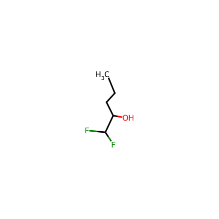 CCCC(O)C(F)F